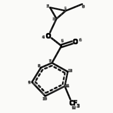 CC1CC1OC(=O)c1cccc(C(F)(F)F)c1